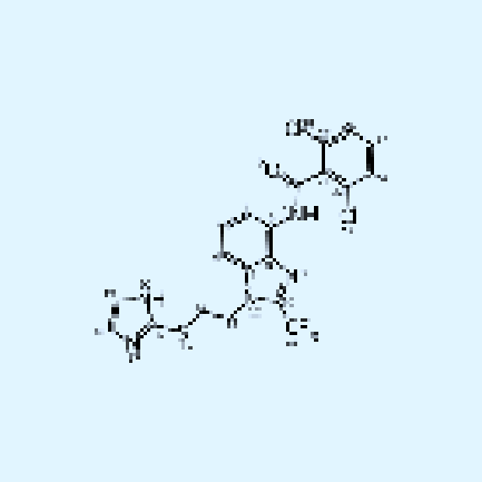 O=C(Nc1cccc2c1nc(C(F)(F)F)n2CCSc1ncc[nH]1)c1c(Cl)cccc1Cl